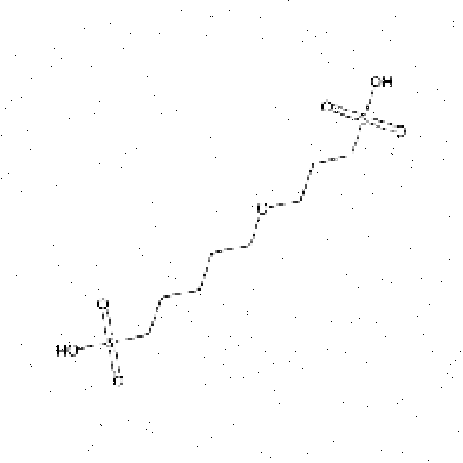 O=S(=O)(O)CCCCCOCCCS(=O)(=O)O